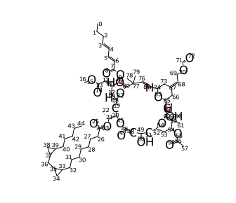 CCC/C=C/C=C/C(=O)O[C@H]1/C(=C/C(=O)OC)C[C@H]2C[C@H]([C@@H](C)OC(=O)CCCCCCCC3CC3CC3CC3CCCCC)OC(=O)C[C@H](O)CC3C[C@H](OC(C)=O)C(C)(C)[C@](O)(C[C@@H]4C/C(=C/COC=O)C[C@H](/C=C/C(C)(C)[C@]1(O)O2)O4)O3